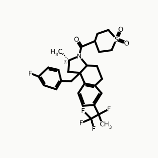 C[C@H]1CC2(Cc3ccc(F)cc3)c3ccc(C(C)(F)C(F)(F)F)cc3CCC2N1C(=O)C1CCS(=O)(=O)CC1